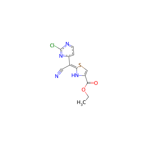 CCOC(=O)C1=CS/C(=C(/C#N)c2ccnc(Cl)n2)N1